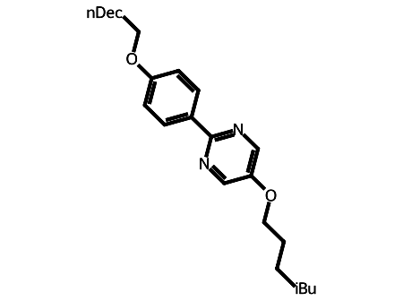 CCCCCCCCCCCOc1ccc(-c2ncc(OCCCC(C)CC)cn2)cc1